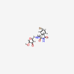 COc1coc(CNC=C2C(=O)NC(=O)c3ccc(Br)cc32)cc1=O